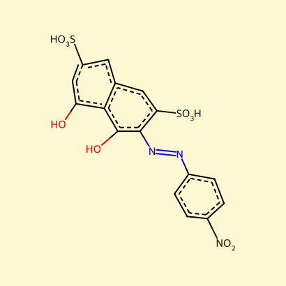 O=[N+]([O-])c1ccc(/N=N/c2c(S(=O)(=O)O)cc3cc(S(=O)(=O)O)cc(O)c3c2O)cc1